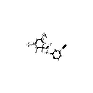 C#Cc1cccc(NC(=O)C2(C)C=C(N)C=C(N)C2C)c1